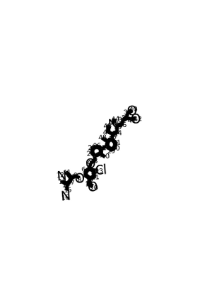 Cc1c(COc2cc(OCc3cncc(C#N)c3)c(C=O)cc2Cl)cccc1-c1cccc(C2=C/C(=C/C=C(C=O)C=O)N(C)C=C2)c1C